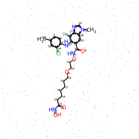 Bc1ccc(Nc2c(C(=O)NOCCOCCCCCCC(=O)NO)cc3c(ncn3C)c2F)c(Cl)c1